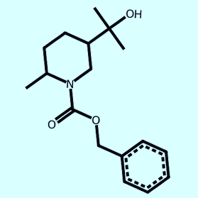 CC1CCC(C(C)(C)O)CN1C(=O)OCc1ccccc1